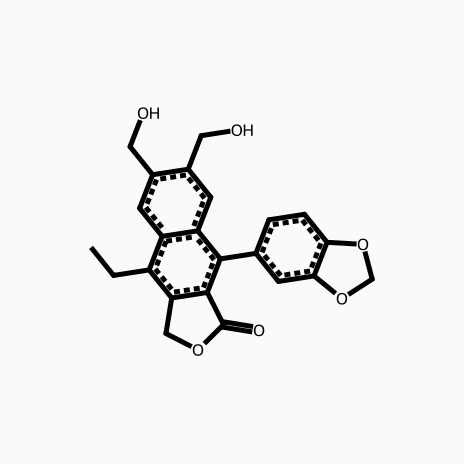 CCc1c2c(c(-c3ccc4c(c3)OCO4)c3cc(CO)c(CO)cc13)C(=O)OC2